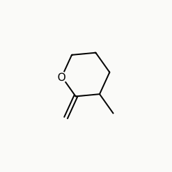 C=C1OCCCC1C